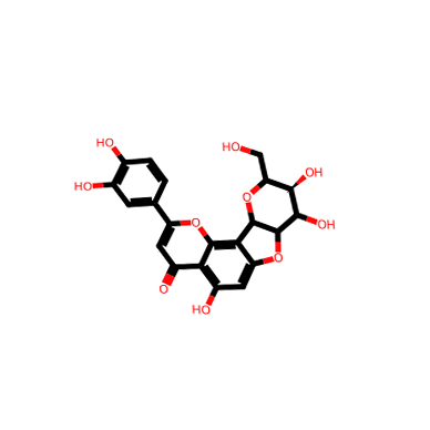 O=c1cc(-c2ccc(O)c(O)c2)oc2c3c(cc(O)c12)OC1C3OC(CO)[C@@H](O)C1O